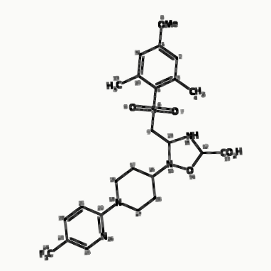 COc1cc(C)c(S(=O)(=O)CC2NC(C(=O)O)ON2C2CCN(c3ccc(C(F)(F)F)cn3)CC2)c(C)c1